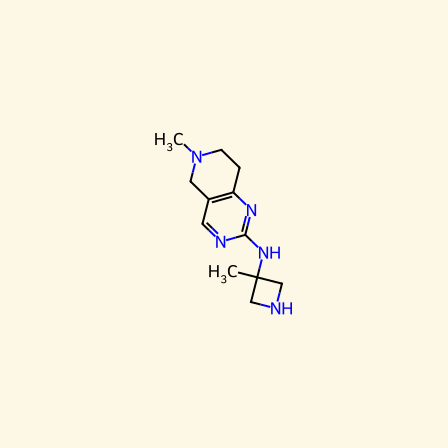 CN1CCc2nc(NC3(C)CNC3)ncc2C1